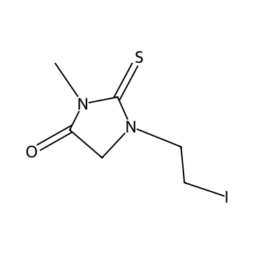 CN1C(=O)CN(CCI)C1=S